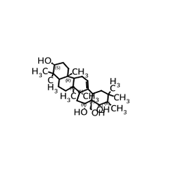 C[C@H]1[C@H](O)[C@@]2(CO)C(CC1(C)C)C1=CCC3[C@@]4(C)CC[C@H](O)C(C)(C)C4CC[C@@]3(C)[C@]1(C)C[C@H]2O